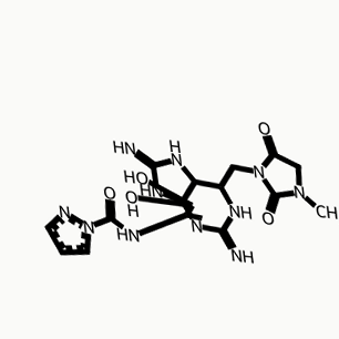 CN1CC(=O)N(CC2NC(=N)N3CC(NC(=O)n4cccn4)C(O)(O)C34NC(=N)NC24)C1=O